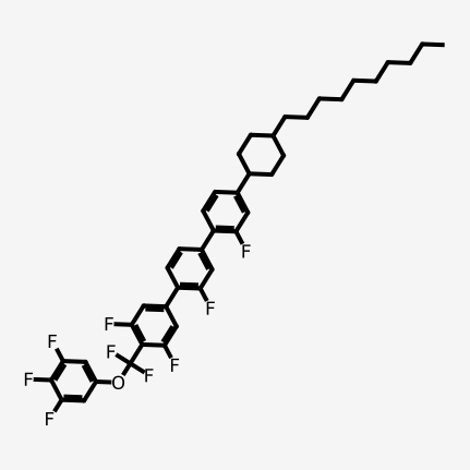 CCCCCCCCCCC1CCC(c2ccc(-c3ccc(-c4cc(F)c(C(F)(F)Oc5cc(F)c(F)c(F)c5)c(F)c4)c(F)c3)c(F)c2)CC1